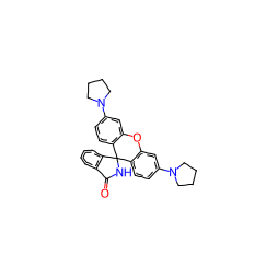 O=C1NC2(c3ccc(N4CCCC4)cc3Oc3cc(N4CCCC4)ccc32)c2ccccc21